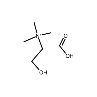 C[N+](C)(C)CCO.O=CO